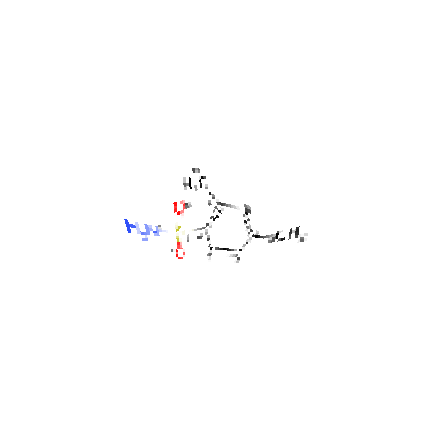 Cc1[c]cc(S(N)(=O)=O)c(C)c1